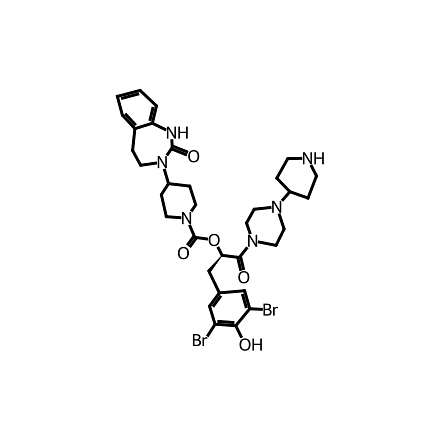 O=C(O[C@H](Cc1cc(Br)c(O)c(Br)c1)C(=O)N1CCN(C2CCNCC2)CC1)N1CCC(N2CCc3ccccc3NC2=O)CC1